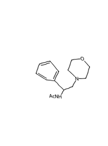 CC(=O)NC(CN1CCOCC1)c1ccccc1